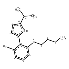 CCCCOc1cccc(F)c1-c1ccc(C(C)C)s1